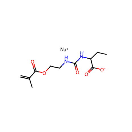 C=C(C)C(=O)OCCNC(=O)NC(CC)C(=O)[O-].[Na+]